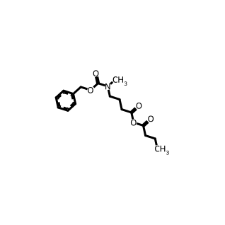 CCCC(=O)OC(=O)CCCN(C)C(=O)OCc1ccccc1